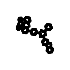 c1ccc(-c2nc(-c3ccc(-c4cccc5c4Sc4ccccc4C54c5ccccc5-c5ccccc54)cc3)nc(-c3ccc4c(c3)sc3ccccc34)n2)cc1